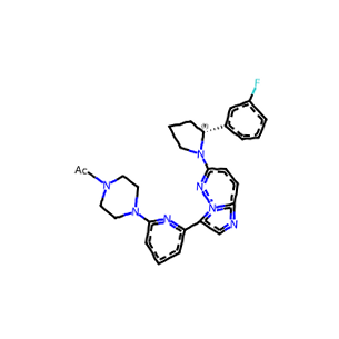 CC(=O)N1CCN(c2cccc(-c3cnc4ccc(N5CCC[C@@H]5c5cccc(F)c5)nn34)n2)CC1